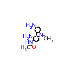 CCn1c2ccc(N)cc2c2c(N)c(NC(C)=O)ccc21